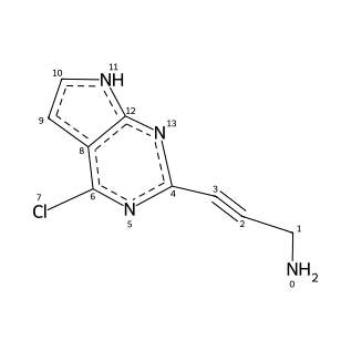 NCC#Cc1nc(Cl)c2cc[nH]c2n1